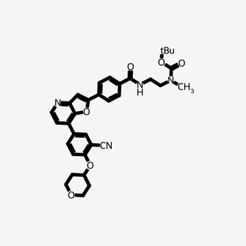 CN(CCNC(=O)c1ccc(-c2cc3nccc(-c4ccc(OC5CCOCC5)c(C#N)c4)c3o2)cc1)C(=O)OC(C)(C)C